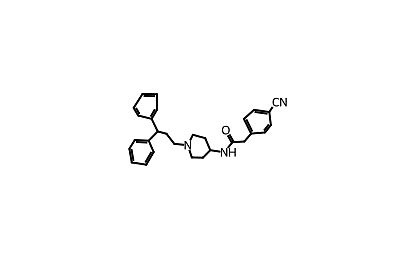 N#Cc1ccc(CC(=O)NC2CCN(CCC(c3ccccc3)c3ccccc3)CC2)cc1